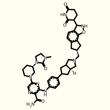 CN1CCN([C@@H]2CCCN(c3cnc(C(N)=O)c(Nc4ccc(C5CC6CN(C[C@H]7Cc8ccc9c(c8C7)ONC9C7CCC(=O)NC7=O)C[C@H]6C5)cc4)n3)C2)C1=O